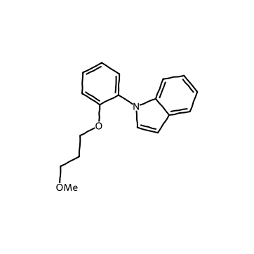 COCCCOc1ccccc1-n1ccc2ccccc21